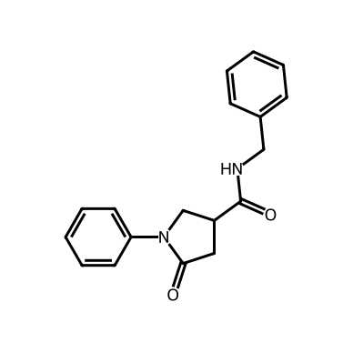 O=C(NCc1ccccc1)C1CC(=O)N(c2ccccc2)C1